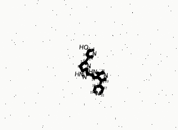 Oc1cncc(-c2ccc3[nH]nc(-c4cc5c(-c6ccncc6)cncc5[nH]4)c3n2)c1